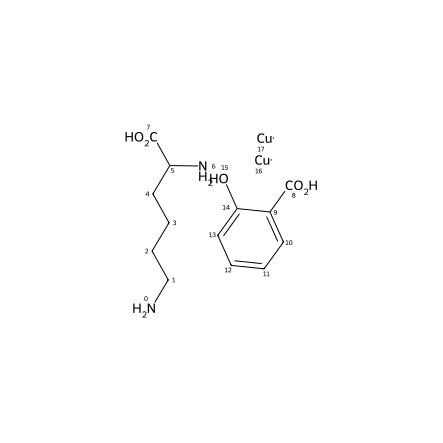 NCCCCC(N)C(=O)O.O=C(O)c1ccccc1O.[Cu].[Cu]